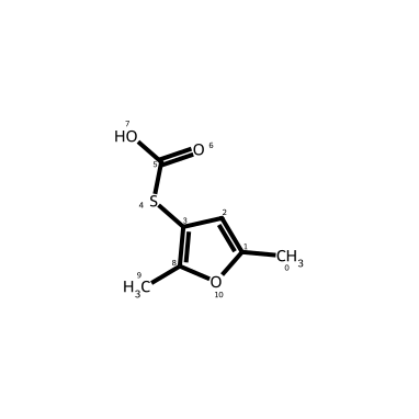 Cc1cc(SC(=O)O)c(C)o1